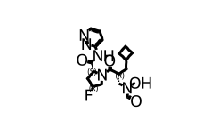 O=CN(O)C[C@@H](CC1CCC1)C(=O)N1C[C@H](F)C[C@H]1C(=O)Nc1cccnn1